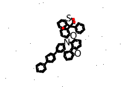 c1ccc(-c2ccc(-c3ccc(N(c4cccc5c4Oc4ccccc4C54c5ccccc5Sc5ccccc54)c4cccc5oc6ccccc6c45)cc3)cc2)cc1